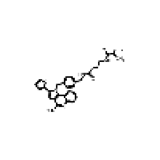 C=C(C)C(=O)NCCOC(=O)NCc1ccc(Cn2c(-c3cccs3)nc3c(N)nc4ccccc4c32)cc1